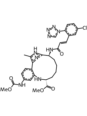 COC(=O)Nc1ccc2c(c1)N[C@@H](C(=O)OC)CCCC[C@H](NC(=O)/C=C/c1cc(Cl)ccc1-n1cnnn1)c1nc-2c(C)[nH]1